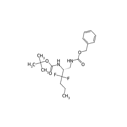 CCCC(F)(F)[C@@H](CNC(=O)OCc1ccccc1)NC(=O)OC(C)(C)C